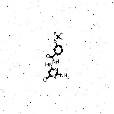 Nc1nc(Cl)cc(NNC(=O)c2cccc(SC(F)(F)F)c2)n1